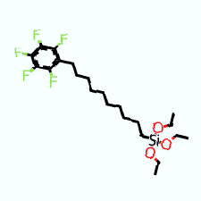 CCO[Si](CCCCCCCCCCc1c(F)c(F)c(F)c(F)c1F)(OCC)OCC